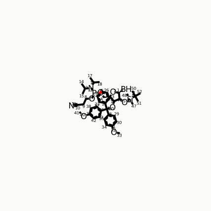 B[C@@H]1O[C@H](COP(OCCC#N)N(C(C)C)C(C)C)C(OC(c2ccccc2)(c2ccc(OC)cc2)c2ccc(OC)cc2)C1O[Si](C)(C)C(C)(C)C